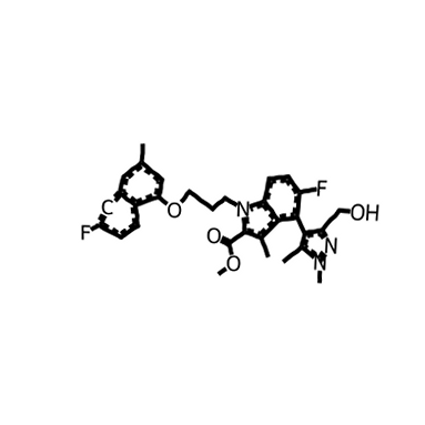 COC(=O)c1c(C)c2c(-c3c(CO)nn(C)c3C)c(F)ccc2n1CCCOc1cc(C)cc2cc(F)ccc12